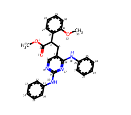 COC(=O)C(Cc1cnc(Nc2ccccc2)nc1Nc1ccccc1)c1ccccc1OC